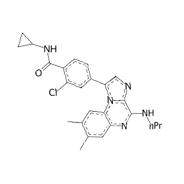 CCCNc1nc2cc(C)c(C)cc2n2c(-c3ccc(C(=O)NC4CC4)c(Cl)c3)cnc12